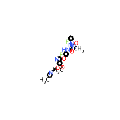 COc1cc2c(Oc3ccc(NC(=O)c4nn(-c5ccccc5F)c(=O)n4C)cc3F)ccnc2cc1OCCCN1CCC(C)CC1